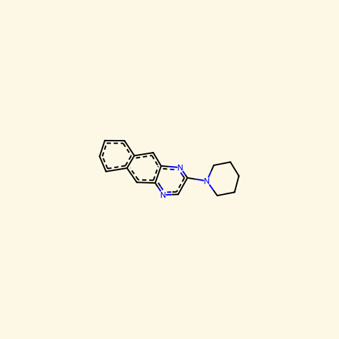 c1ccc2cc3nc(N4CCCCC4)cnc3cc2c1